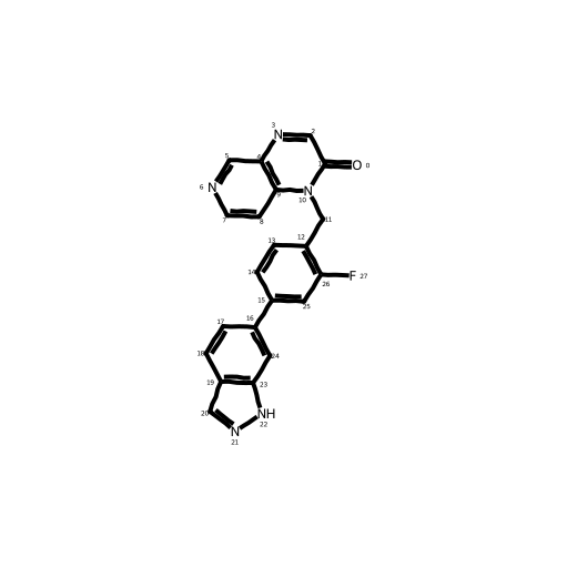 O=c1cnc2cnccc2n1Cc1ccc(-c2ccc3cn[nH]c3c2)cc1F